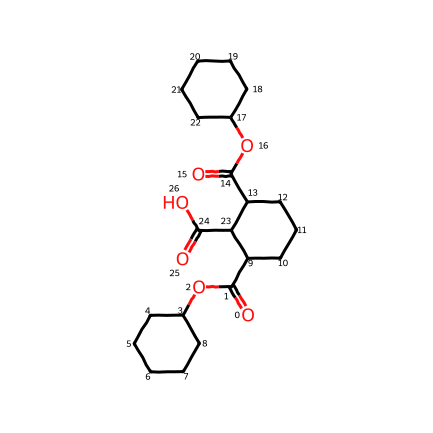 O=C(OC1CCCCC1)C1CCCC(C(=O)OC2CCCCC2)C1C(=O)O